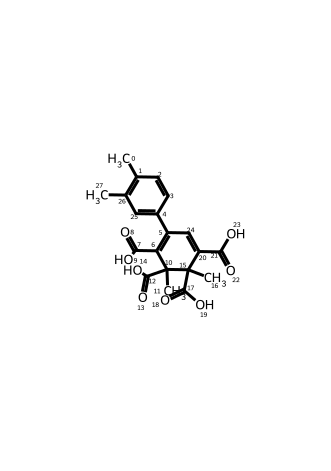 Cc1ccc(C2=C(C(=O)O)C(C)(C(=O)O)C(C)(C(=O)O)C(C(=O)O)=C2)cc1C